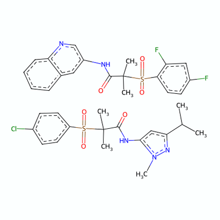 CC(C)(C(=O)Nc1cnc2ccccc2c1)S(=O)(=O)c1ccc(F)cc1F.CC(C)c1cc(NC(=O)C(C)(C)S(=O)(=O)c2ccc(Cl)cc2)n(C)n1